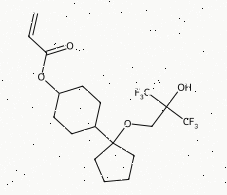 C=CC(=O)OC1CCC(C2(OCC(O)(C(F)(F)F)C(F)(F)F)CCCC2)CC1